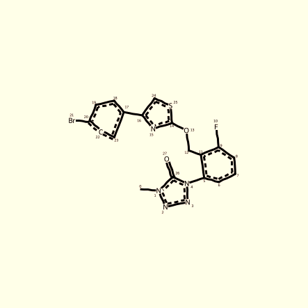 Cn1nnn(-c2cccc(F)c2COc2nc(-c3ccc(Br)cc3)cs2)c1=O